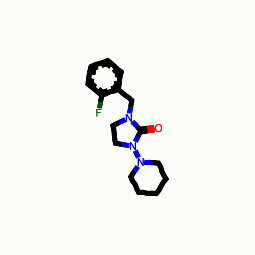 O=C1N(Cc2ccccc2F)CCN1N1CCCCC1